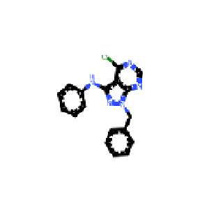 Clc1ncnc2c1c(Nc1ccccc1)nn2Cc1ccccc1